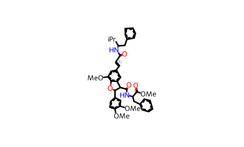 COC(=O)C(Cc1ccccc1)NC(=O)C1c2cc(/C=C/C(=O)NC(Cc3ccccc3)C(C)C)cc(OC)c2OC1c1ccc(OC)c(OC)c1